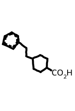 O=C(O)C1CCC(CCc2ccccc2)CC1